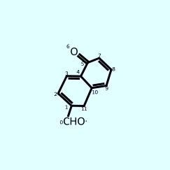 O=[C]C1=CC=C2C(=O)C=CC=C2C1